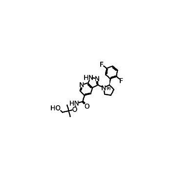 CC(C)(CO)ONC(=O)c1cnc2[nH]nc(N3CCC[C@@H]3c3cc(F)ccc3F)c2c1